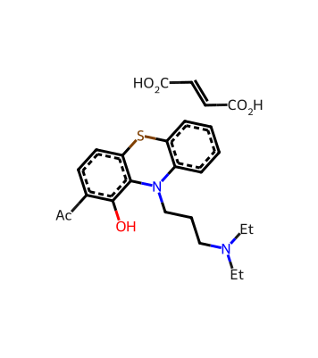 CCN(CC)CCCN1c2ccccc2Sc2ccc(C(C)=O)c(O)c21.O=C(O)C=CC(=O)O